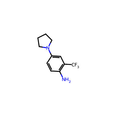 Nc1ccc(N2CCCC2)cc1C(F)(F)F